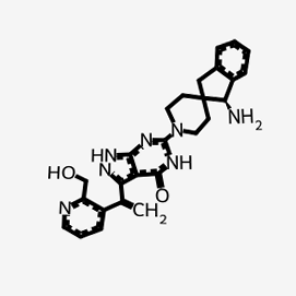 C=C(c1cccnc1CO)c1n[nH]c2nc(N3CCC4(CC3)Cc3ccccc3[C@H]4N)[nH]c(=O)c12